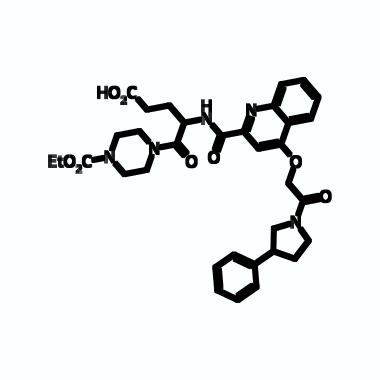 CCOC(=O)N1CCN(C(=O)C(CCC(=O)O)NC(=O)c2cc(OCC(=O)N3CCC(c4ccccc4)C3)c3ccccc3n2)CC1